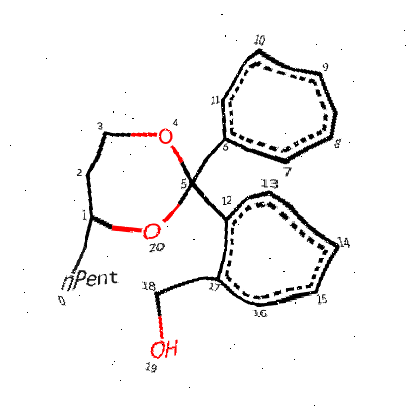 CCCCCC1CCOC(c2ccccc2)(c2ccccc2CO)O1